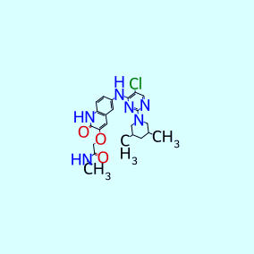 CNC(=O)COc1cc2cc(Nc3nc(N4CC(C)CC(C)C4)ncc3Cl)ccc2[nH]c1=O